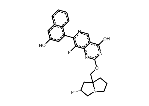 Oc1cc(-c2ncc3c(O)nc(OCC45CCCN4C[C@H](F)C5)nc3c2F)c2ccccc2c1